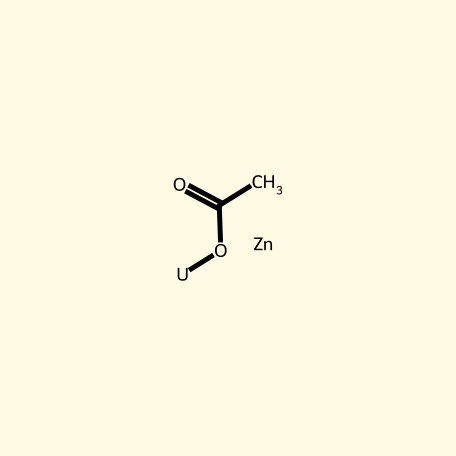 CC(=O)[O][U].[Zn]